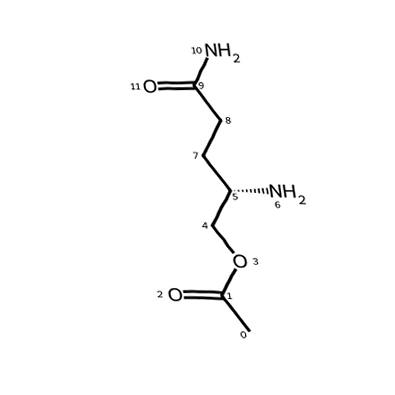 CC(=O)OC[C@@H](N)CCC(N)=O